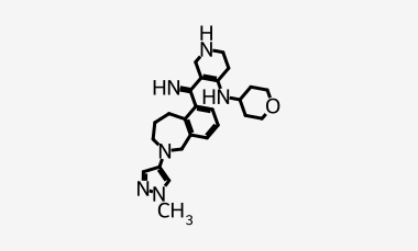 Cn1cc(N2CCCc3c(cccc3C(=N)C3=C(NC4CCOCC4)CCNC3)C2)cn1